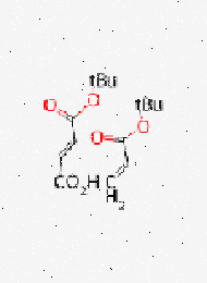 C=CC(=O)OC(C)(C)C.CC(C)(C)OC(=O)C=CC(=O)O